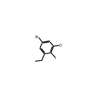 CCc1cc(Br)cc(Cl)c1I